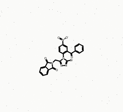 O=C(c1ccccc1)c1cc([N+](=O)[O-])ccc1-n1c(Br)nnc1CN1C(=O)c2ccccc2C1=O